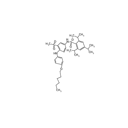 CCCCCCOc1ccc(Nc2ccc(NS(=O)(=O)c3c(C(C)C)cc(C(C)C)cc3C(C)C)cc2S(C)(=O)=O)cc1